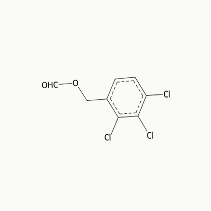 O=COCc1ccc(Cl)c(Cl)c1Cl